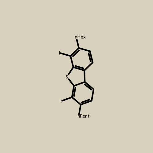 CCCCCCc1ccc2c(sc3c(I)c(CCCCC)ccc32)c1I